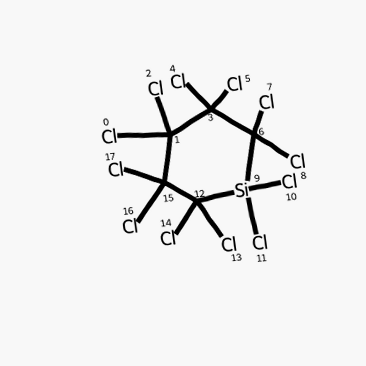 ClC1(Cl)C(Cl)(Cl)C(Cl)(Cl)[Si](Cl)(Cl)C(Cl)(Cl)C1(Cl)Cl